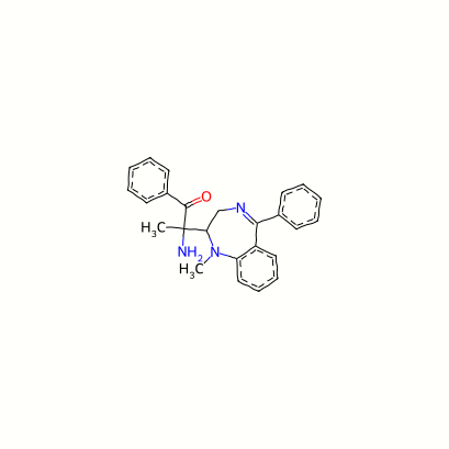 CN1c2ccccc2C(c2ccccc2)=NCC1C(C)(N)C(=O)c1ccccc1